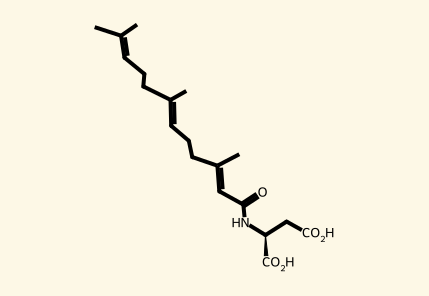 CC(C)=CCC/C(C)=C/CC/C(C)=C/C(=O)N[C@@H](CC(=O)O)C(=O)O